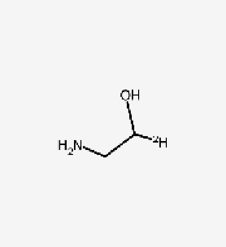 [2H]C(O)CN